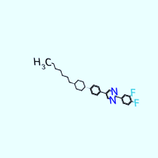 CCCCCCC[C@H]1CC[C@H](c2ccc(-c3cnc(-c4ccc(F)c(F)c4)nc3)cc2)CC1